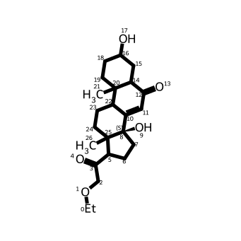 CCOCC(=O)C1CC[C@@]2(O)C3=CC(=O)C4CC(O)CCC4(C)C3CCC12C